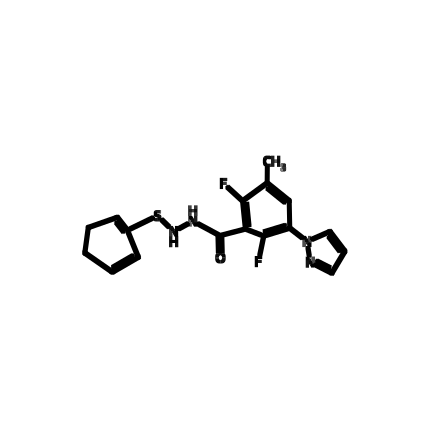 Cc1cc(-n2cccn2)c(F)c(C(=O)NNSC2=CCCC=C2)c1F